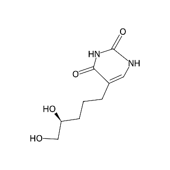 O=c1[nH]cc(CCC[C@H](O)CO)c(=O)[nH]1